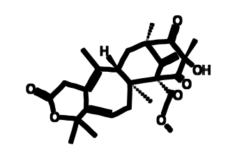 C=C1[C@@]2(C)C[C@H]3C(C)=C4CC(=O)OC(C)(C)C4=CC[C@]3(C)[C@]1(C(=O)OC)C(=O)[C@@](C)(O)C2=O